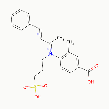 CC(/C=C/c1ccccc1)=[N+](/CCCS(=O)(=O)O)c1ccc(C(=O)O)cc1C